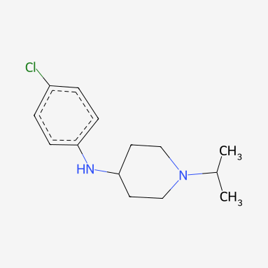 CC(C)N1CCC(Nc2ccc(Cl)cc2)CC1